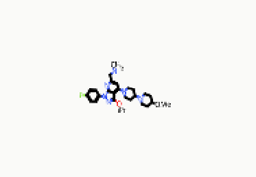 C=NCc1cc(N2CCC(N3CCC(OC)CC3)CC2)c2c(OC(C)C)nn(-c3ccc(F)cc3)c2n1